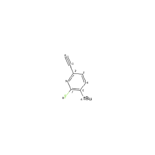 [C]#Cc1ccc(C(C)(C)C)c(F)c1